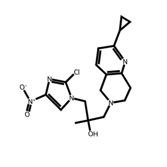 CC(O)(CN1CCc2nc(C3CC3)ccc2C1)Cn1cc([N+](=O)[O-])nc1Cl